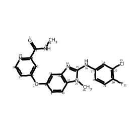 CNC(=O)c1cc(Oc2ccc3c(c2)nc(Nc2ccc(F)c(Cl)c2)n3C)ccn1